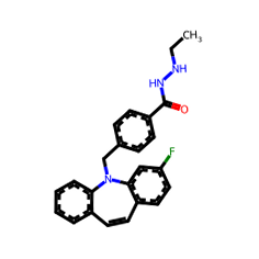 CCNNC(=O)c1ccc(CN2c3ccccc3C=Cc3ccc(F)cc32)cc1